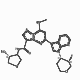 CNc1cc(-c2cn([C@H]3CCOC[C@@H]3F)c3ncccc23)nc2c(C(=O)NC3COC[C@@H]3O)cnn12